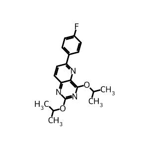 CC(C)Oc1nc(OC(C)C)c2nc(-c3ccc(F)cc3)ccc2n1